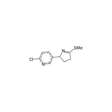 CSC1=NC(c2ccc(Cl)nc2)CC1